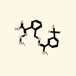 CON=C(C(=O)O)c1ccccc1CON=C(C)c1cccc(C(F)(F)F)c1